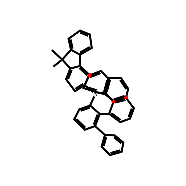 CC1(C)c2ccccc2-c2cc(N(c3ccccc3)c3cccc(-c4ccccc4)c3-c3ccccc3-c3ccccc3)ccc21